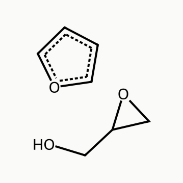 OCC1CO1.c1ccoc1